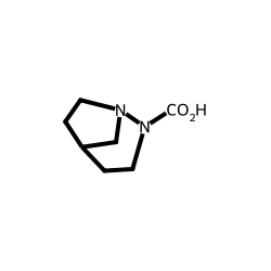 O=C(O)N1CCC2CCN1C2